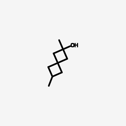 CC1CC2(C1)CC(C)(O)C2